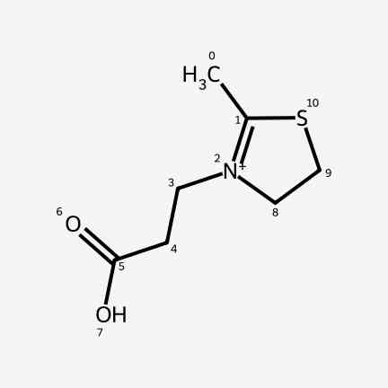 CC1=[N+](CCC(=O)O)CCS1